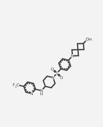 O=S(=O)(c1ccc(N2CC3(CC(O)C3)C2)cc1)N1CCC(Nc2ccc(C(F)(F)F)cn2)CC1